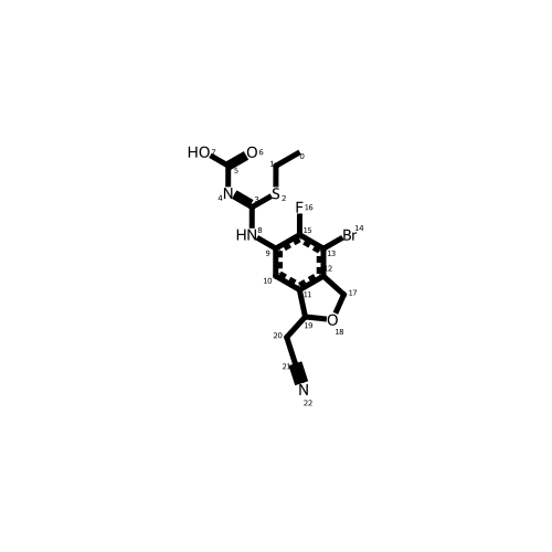 CCS/C(=N\C(=O)O)Nc1cc2c(c(Br)c1F)COC2CC#N